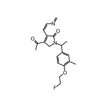 C=N/C=C\C1=C(C(C)=O)CN(C(C)c2ccc(OCCF)c(C)c2)C1=O